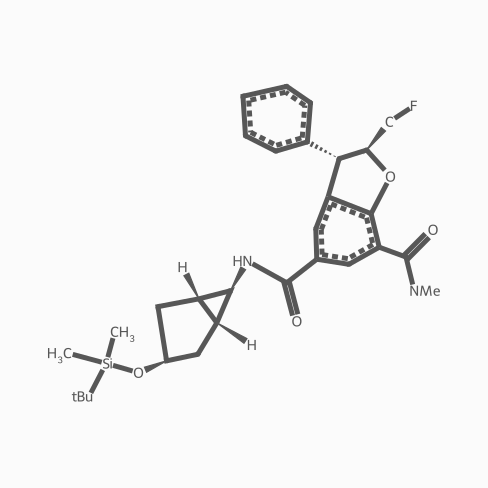 CNC(=O)c1cc(C(=O)N[C@H]2[C@@H]3C[C@@H](O[Si](C)(C)C(C)(C)C)C[C@@H]32)cc2c1O[C@H](CF)[C@H]2c1ccccc1